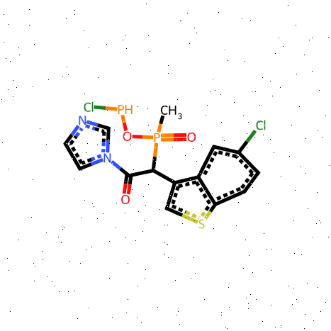 CP(=O)(OPCl)C(C(=O)n1ccnc1)c1csc2ccc(Cl)cc12